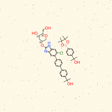 CC(C)(O)c1ccc(-c2ccc(-c3cc4nc(O[C@H]5CO[C@H](CO)[C@@H](O)C5)[nH]c4cc3Cl)cc2)cc1.CC(C)(O)c1ccc(B2OC(C)(C)C(C)(C)O2)cc1